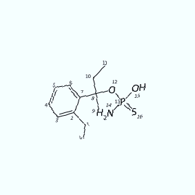 CCc1ccccc1C(C)(CC)OP(N)(O)=S